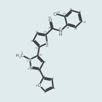 Cn1nc(-c2ccco2)cc1-c1ccc(C(=O)Nc2ccccc2Cl)s1